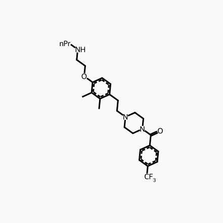 CCCNCCOc1ccc(CCN2CCN(C(=O)c3ccc(C(F)(F)F)cc3)CC2)c(C)c1C